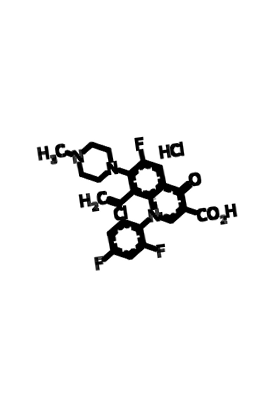 C=C(Cl)c1c(N2CCN(C)CC2)c(F)cc2c(=O)c(C(=O)O)cn(-c3ccc(F)cc3F)c12.Cl